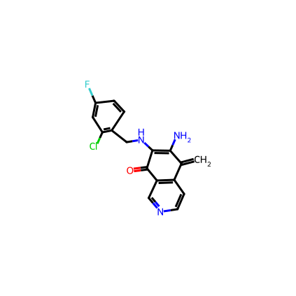 C=C1C(N)=C(NCc2ccc(F)cc2Cl)C(=O)c2cnccc21